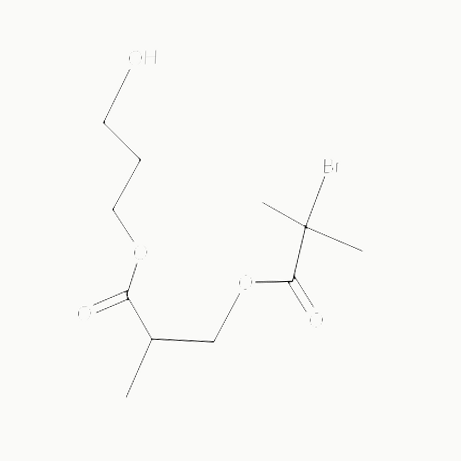 CC(COC(=O)C(C)(C)Br)C(=O)OCCCO